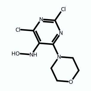 ONc1c(Cl)nc(Cl)nc1N1CCOCC1